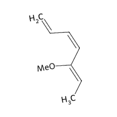 C=C/C=C\C(=C\C)OC